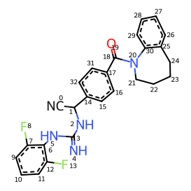 N#CC(NC(=N)Nc1c(F)cccc1F)c1ccc(C(=O)N2CCCCc3ccccc32)cc1